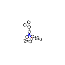 CC(C)(C)c1ccc(N(c2ccc(-c3ccc(-c4ccccc4)c(-c4ccccc4)c3)cc2)c2ccccc2-c2cccc3cccc(C45CC6CC7CC(C4)C765)c23)cc1